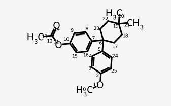 COc1ccc(C2(c3ccc(OC(C)=O)cc3)CCC(C)(C)CC2)cc1